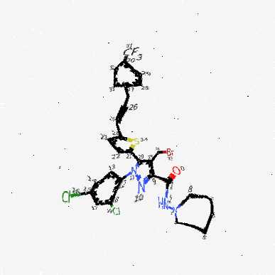 O=C(NN1CCCCC1)c1nn(-c2ccc(Cl)cc2Cl)c(-c2ccc(C#Cc3ccc(C(F)(F)F)cc3)s2)c1CBr